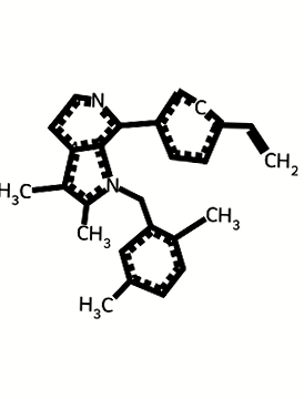 C=Cc1ccc(-c2nccc3c(C)c(C)n(Cc4cc(C)ccc4C)c23)cc1